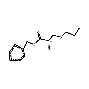 CCCOC[C@@H](Br)C(=O)OCc1ccccc1